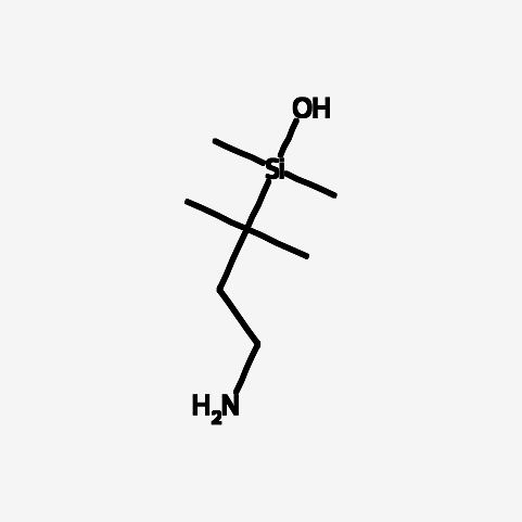 CC(C)(CCN)[Si](C)(C)O